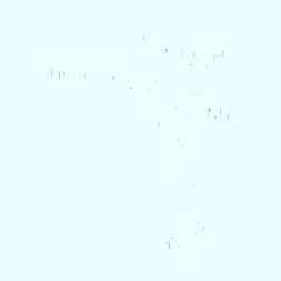 CC(C)[Si](C)(C)CCCSCC(CN)c1cc(C(=O)O)ccc1C(=O)O